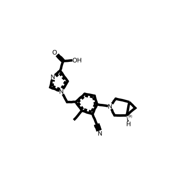 Cc1c(Cn2cnc(C(=O)O)c2)ccc(N2CC3C[C@H]3C2)c1C#N